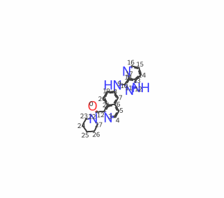 O=C(c1nccc2cc(Nc3n[nH]c4cccnc34)ccc12)N1CCCCC1